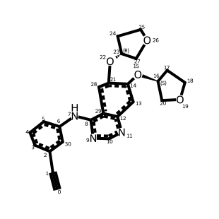 C#Cc1cccc(Nc2ncnc3cc(O[C@H]4CCOC4)c(O[C@@H]4CCOC4)cc23)c1